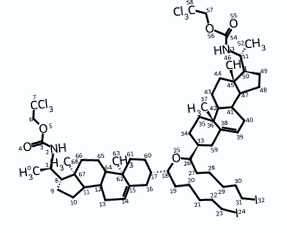 C[C@@H](NC(=O)OCC(Cl)(Cl)Cl)[C@H]1CCC2C3CC=C4C[C@@H](C(CCCCCI)OC(CCCCCI)[C@H]5CC[C@@]6(C)C(=CCC7C6CC[C@@]6(C)C7CC[C@@H]6[C@@H](C)NC(=O)OCC(Cl)(Cl)Cl)C5)CC[C@]4(C)C3CC[C@@]21C